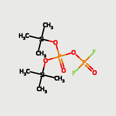 C[Si](C)(C)OP(=O)(O[Si](C)(C)C)OP(=O)(F)F